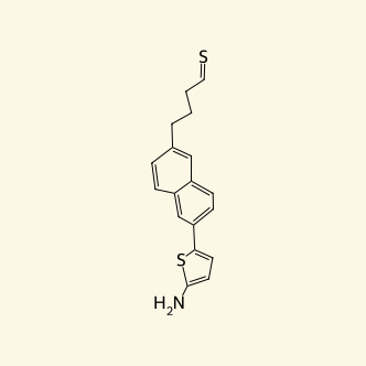 Nc1ccc(-c2ccc3cc(CCCC=S)ccc3c2)s1